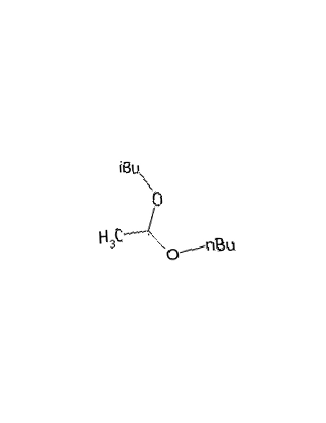 CCCCO[C](C)OC(C)CC